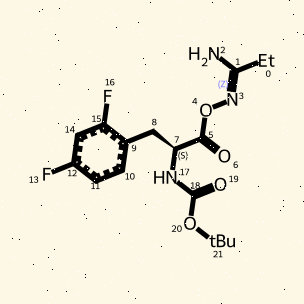 CC/C(N)=N/OC(=O)[C@H](Cc1ccc(F)cc1F)NC(=O)OC(C)(C)C